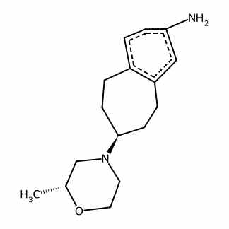 C[C@@H]1CN([C@H]2CCc3ccc(N)cc3CC2)CCO1